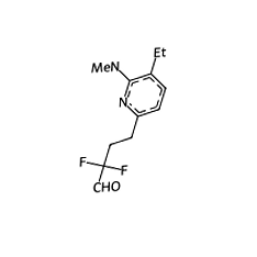 CCc1ccc(CCC(F)(F)C=O)nc1NC